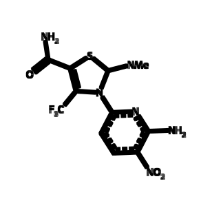 CNC1SC(C(N)=O)=C(C(F)(F)F)N1c1ccc([N+](=O)[O-])c(N)n1